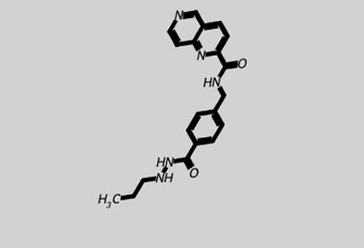 CCCNNC(=O)c1ccc(CNC(=O)c2ccc3cnccc3n2)cc1